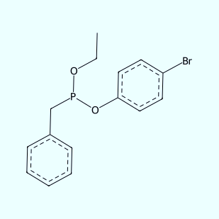 CCOP(Cc1ccccc1)Oc1ccc(Br)cc1